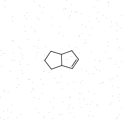 [CH]1CC2C=CCC2C1